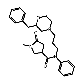 CN1CC(C(=O)N(CCCN2CCOC(Cc3ccccc3)C2)c2ccccc2)CC1=O